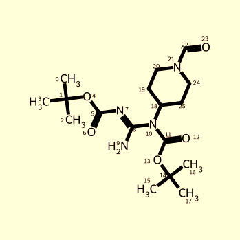 CC(C)(C)OC(=O)N=C(N)N(C(=O)OC(C)(C)C)C1CCN([C]=O)CC1